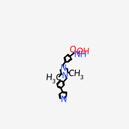 CC1CN(Cc2ccc(C(=O)NO)cc2)CC(C)N1Cc1cccc(-c2ccncc2)c1